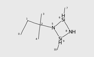 CCC(C)(C)N1[SiH](C)N[SiH]1C